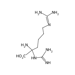 N=C(N)NC(N)(CCCCN=C(N)N)C(=O)O